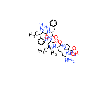 CC(C)C[C@@H](NC(=O)[C@@H](Cc1ccccc1)NC(=O)[C@H](N)[C@H](C)c1ccccc1)C(=O)N[C@H](CCCCN)C(=O)N1CCC(N)(C(=O)O)C1